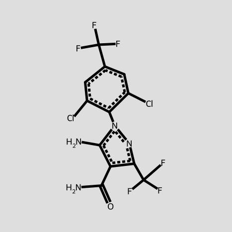 NC(=O)c1c(C(F)(F)F)nn(-c2c(Cl)cc(C(F)(F)F)cc2Cl)c1N